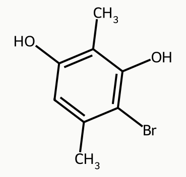 Cc1cc(O)c(C)c(O)c1Br